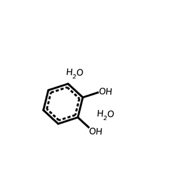 O.O.Oc1ccccc1O